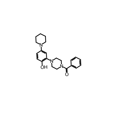 O=C(c1ccccc1)N1CCN(c2cc(N3CCCCC3)ccc2O)CC1